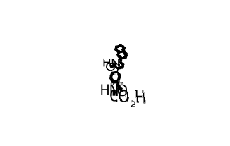 C[C@]1(C(=O)NC(=O)O)CCC[C@@H](c2ccc(-c3ccc4ccccc4c3)[nH]c2=O)C1